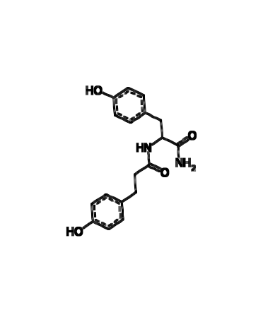 NC(=O)C(Cc1ccc(O)cc1)NC(=O)CCc1ccc(O)cc1